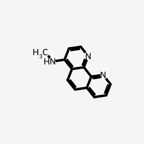 CNc1ccnc2c1ccc1cccnc12